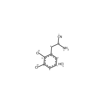 Cl.N#CC(N)Cc1cccc(Cl)c1Cl